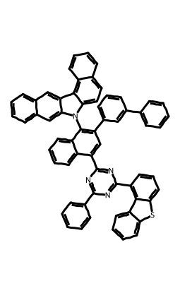 c1ccc(-c2cccc(-c3cc(-c4nc(-c5ccccc5)nc(-c5cccc6sc7ccccc7c56)n4)c4ccccc4c3-n3c4cc5ccccc5cc4c4c5ccccc5ccc43)c2)cc1